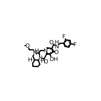 COCCN1C[C@@H]2CCCC[C@@H]2N2C(=O)c3c(O)c(=O)c(C(=O)NCc4ccc(F)cc4F)cn3C[C@@H]12